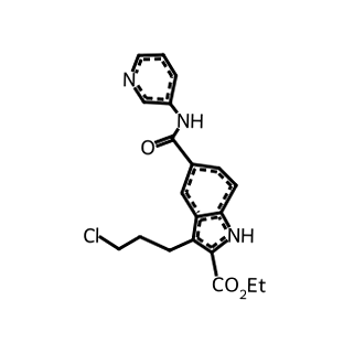 CCOC(=O)c1[nH]c2ccc(C(=O)Nc3cccnc3)cc2c1CCCCl